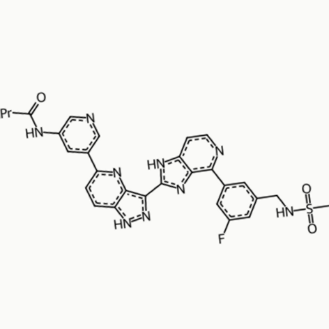 CC(C)C(=O)Nc1cncc(-c2ccc3[nH]nc(-c4nc5c(-c6cc(F)cc(CNS(C)(=O)=O)c6)nccc5[nH]4)c3n2)c1